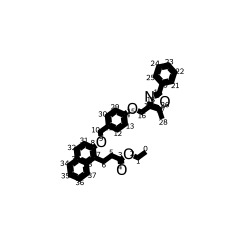 CCOC(=O)CCc1c(OCc2ccc(OCc3nc(-c4ccccc4)oc3C)cc2)ccc2ccccc12